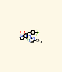 Cc1ccnc(Nc2cc(C(F)(F)F)ccc2Cc2cc(Cl)c3cccnc3c2O)n1